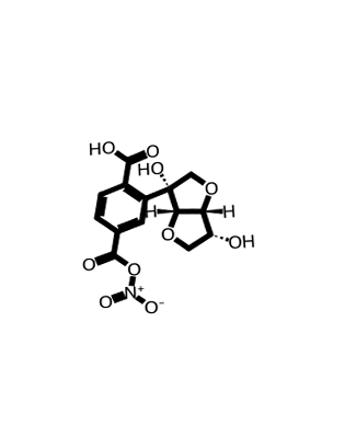 O=C(O[N+](=O)[O-])c1ccc(C(=O)O)c([C@@]2(O)CO[C@@H]3[C@H](O)CO[C@@H]32)c1